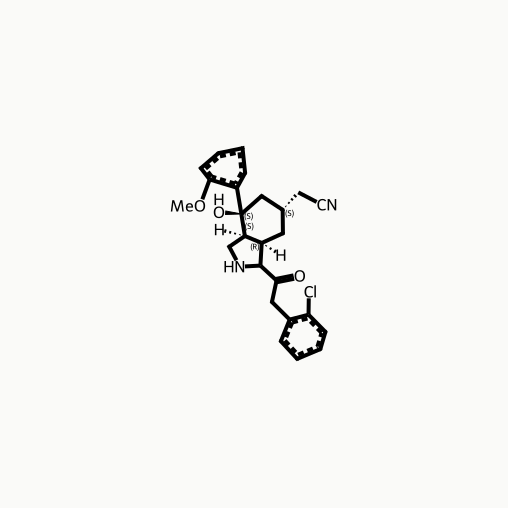 COc1ccccc1[C@]1(O)C[C@H](CC#N)C[C@H]2C(C(=O)Cc3ccccc3Cl)NC[C@H]21